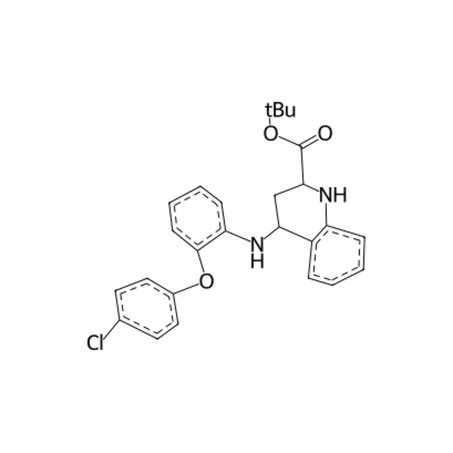 CC(C)(C)OC(=O)C1CC(Nc2ccccc2Oc2ccc(Cl)cc2)c2ccccc2N1